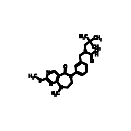 CSc1ncc2c(n1)N(C)CCN(c1cccc(CN(CC(C)(C)C)C(=O)O)c1)C2=O